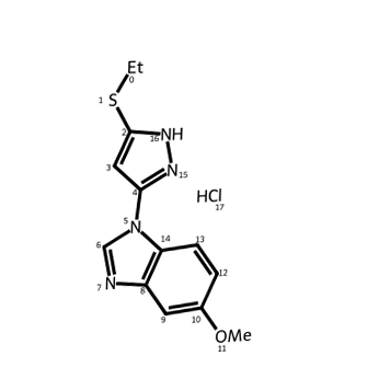 CCSc1cc(-n2cnc3cc(OC)ccc32)n[nH]1.Cl